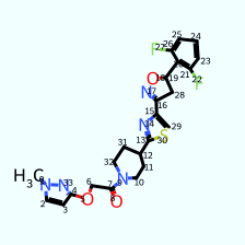 Cn1ccc(OCC(=O)N2CCC(c3nc(C4=NOC(c5c(F)cccc5F)C4)cs3)CC2)n1